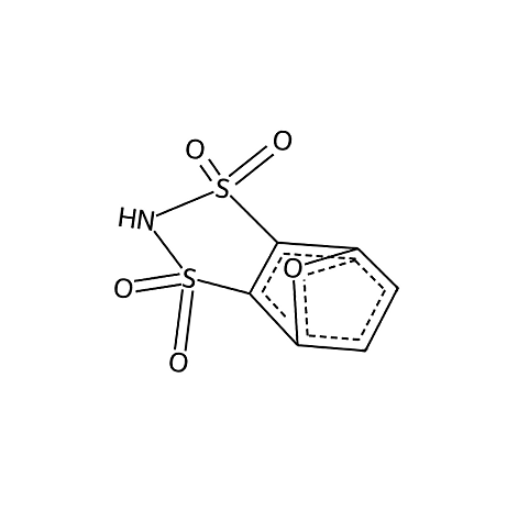 O=S1(=O)NS(=O)(=O)c2c1c1ccc2o1